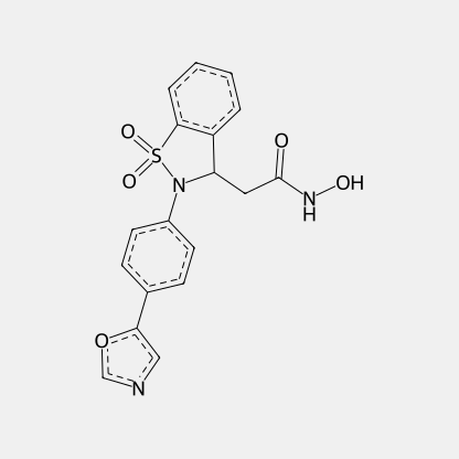 O=C(CC1c2ccccc2S(=O)(=O)N1c1ccc(-c2cnco2)cc1)NO